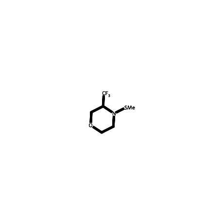 CSN1CCOCC1C(F)(F)F